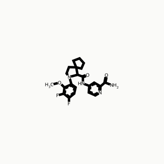 COc1c(N2CCC3(CCCC3)C2C(=O)Nc2ccnc(C(N)=O)c2)ccc(F)c1F